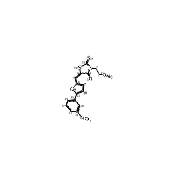 COCCN1C(=O)/C(=C\c2ccc(-c3cccc([N+](=O)[O-])c3)o2)SC1=S